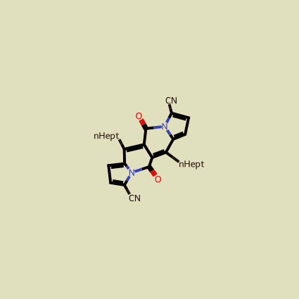 CCCCCCCc1c2c(=O)n3c(C#N)ccc3c(CCCCCCC)c2c(=O)n2c(C#N)ccc12